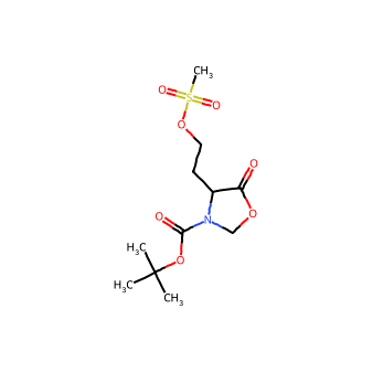 CC(C)(C)OC(=O)N1COC(=O)C1CCOS(C)(=O)=O